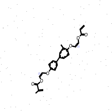 C=CC(=O)O/C=C\Oc1ccc(-c2ccc(O/C=C\OC(=O)C(=C)C)cc2)cc1C